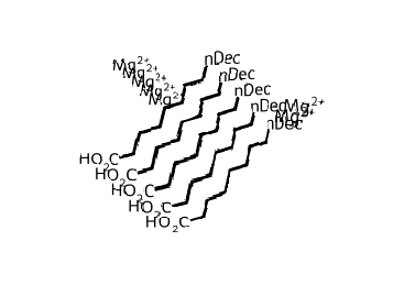 CCCCCCCCCCCCCCCCCC(=O)O.CCCCCCCCCCCCCCCCCC(=O)O.CCCCCCCCCCCCCCCCCC(=O)O.CCCCCCCCCCCCCCCCCC(=O)O.CCCCCCCCCCCCCCCCCC(=O)O.[Mg+2].[Mg+2].[Mg+2].[Mg+2].[Mg+2].[Mg+2].[Mg+2]